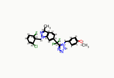 COc1ccc(Cn2nnnc2C(F)(F)c2ccc3c(C)nn(Cc4c(F)cccc4Cl)c3c2)cc1